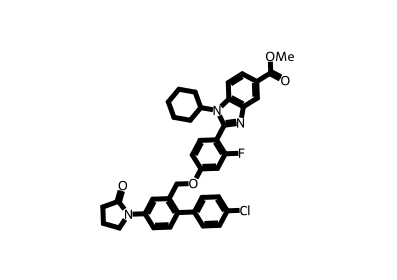 COC(=O)c1ccc2c(c1)nc(-c1ccc(OCc3cc(N4CCCC4=O)ccc3-c3ccc(Cl)cc3)cc1F)n2C1CCCCC1